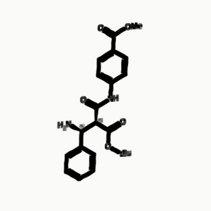 COC(=O)c1ccc(NC(=O)[C@@H](C(=O)OC(C)(C)C)[C@H](N)c2ccccc2)cc1